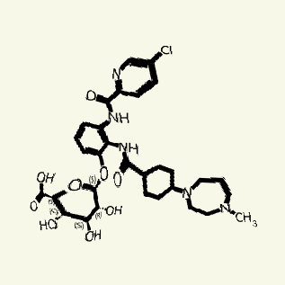 CN1CCCN(C2CCC(C(=O)Nc3c(NC(=O)c4ccc(Cl)cn4)cccc3O[C@@H]3O[C@H](C(=O)O)[C@@H](O)[C@H](O)[C@H]3O)CC2)CC1